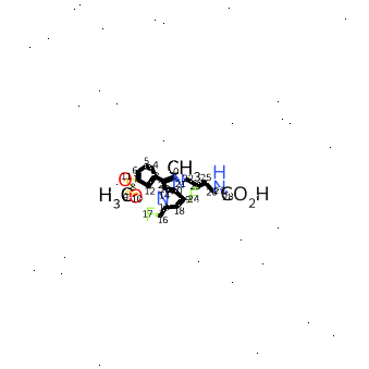 Cc1c(-c2cccc(S(C)(=O)=O)c2)c2nc(CF)ccc2n1C/C(F)=C/CNC(=O)O